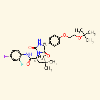 CC(C)(C)C[C@@H](C(=O)Nc1ccc(I)cc1F)N1C(=O)N[C@H](c2ccc(OCCOC(C)(C)C)cc2)C1=O